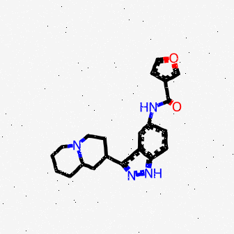 O=C(Nc1ccc2[nH]nc(C3CCN4CCCCC4C3)c2c1)c1ccoc1